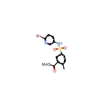 COC(=O)c1cc(S(=O)(=O)Nc2ccc(Br)nc2)ccc1C